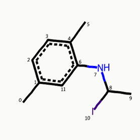 Cc1ccc(C)c(NC(C)I)c1